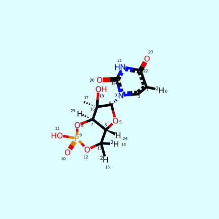 [2H]c1cn([C@@H]2O[C@H]3[C@@H](OP(=O)(O)OC3([2H])[2H])[C@@]2(C)O)c(=O)[nH]c1=O